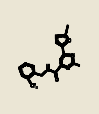 Cc1nc(C(=O)NCc2ccccc2C(F)(F)F)cc(-c2ccc(C)o2)n1